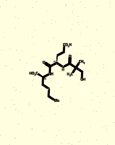 CC(C)(C)CSC[C@H](NC(=O)[C@H](CCC(=O)O)NC(=O)C(C)(C)CO)C(=O)O